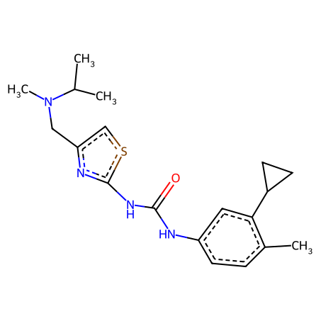 Cc1ccc(NC(=O)Nc2nc(CN(C)C(C)C)cs2)cc1C1CC1